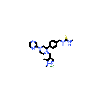 CNC(=S)NCc1ccc(C2CN(c3cnccn3)CCN2Cc2cnn(C)c2C)cc1.Cl